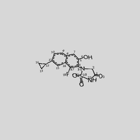 O=C1CN(c2c(O)cc3ccc(C4CC4)cc3c2F)S(=O)(=O)N1